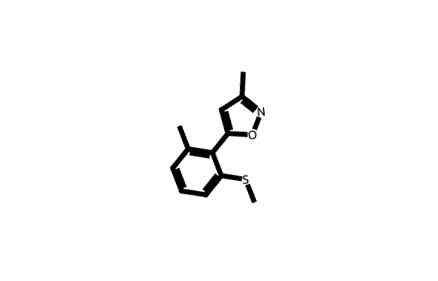 CSc1cccc(C)c1-c1cc(C)no1